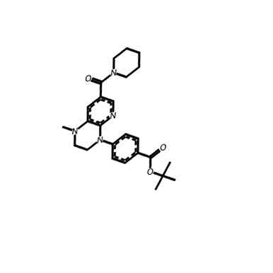 CN1CCN(c2ccc(C(=O)OC(C)(C)C)cc2)c2ncc(C(=O)N3CCCCC3)cc21